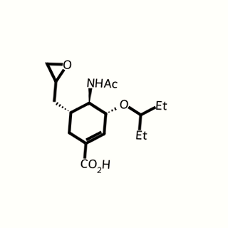 CCC(CC)O[C@@H]1C=C(C(=O)O)C[C@H](CC2CO2)[C@H]1NC(C)=O